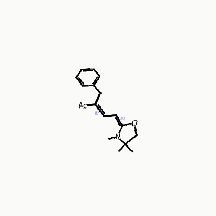 CC(=O)/C(=C/C=C1/OCC(C)(C)N1C)Cc1ccccc1